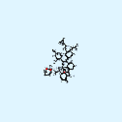 Cc1ccc(C(NS(=O)(=O)c2c(C(=O)O)cccc2[C@@H](Cc2c(Cl)c[n+]([O-])cc2Cl)c2ccc(OC(F)F)c(OCC3CC3)c2)C(=O)O[C@H]2CN3CCC2CC3)cc1